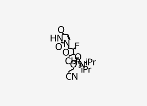 CC(C)N(C(C)C)P(OCCC#N)O[C@@H]1C(F)[C@H](n2ccc(=O)[nH]c2=O)O[C@@H]1C